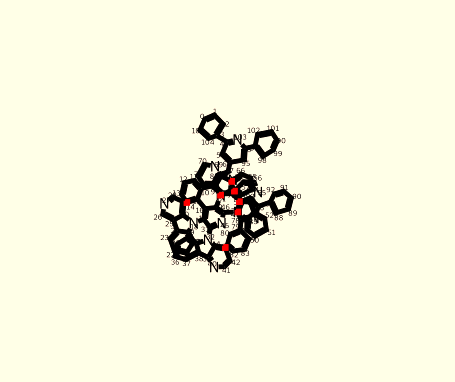 c1ccc(-c2cc(-c3cc(-c4ccccc4-c4c(-n5c6ccccc6c6cnccc65)c(-n5c6ccccc6c6ncccc65)nc(-n5c6ccccc6c6ncccc65)c4-n4c5ccccc5c5ncccc54)cc(-c4cc(-c5ccccc5)nc(-c5ccccc5)c4)n3)cc(-c3ccccc3)n2)cc1